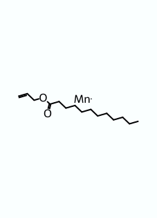 C=CCOC(=O)CCCCCCCCCCC.[Mn]